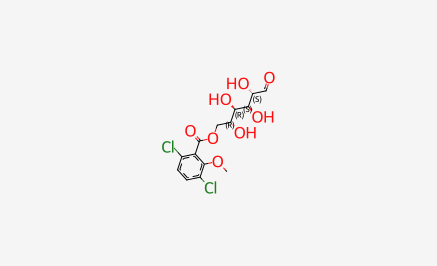 COc1c(Cl)ccc(Cl)c1C(=O)OC[C@@H](O)[C@@H](O)[C@H](O)[C@H](O)C=O